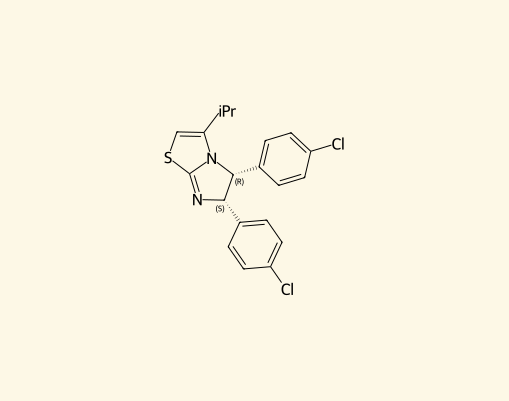 CC(C)C1=CSC2=N[C@@H](c3ccc(Cl)cc3)[C@@H](c3ccc(Cl)cc3)N12